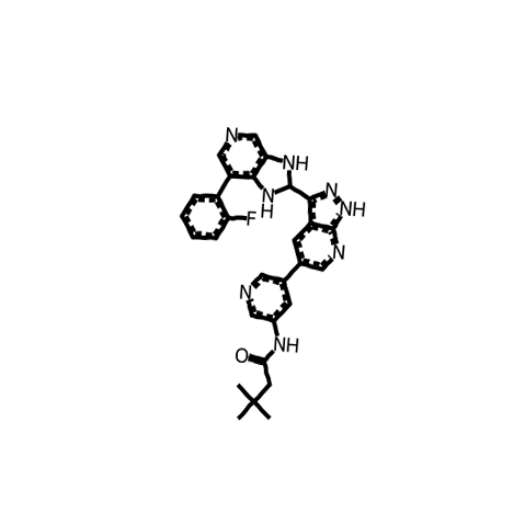 CC(C)(C)CC(=O)Nc1cncc(-c2cnc3[nH]nc(C4Nc5cncc(-c6ccccc6F)c5N4)c3c2)c1